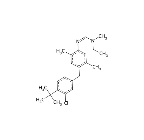 CCN(C)/C=N\c1cc(C)c(Cc2ccc(C(C)(C)C)c(Cl)c2)cc1C